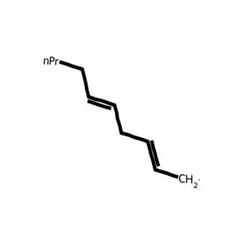 [CH2]/C=C/C/C=C/CCCC